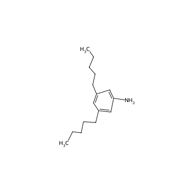 CCCCCc1cc(N)cc(CCCCC)c1